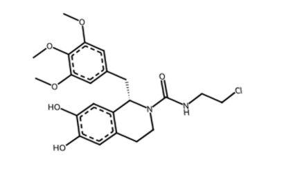 COc1cc(C[C@H]2c3cc(O)c(O)cc3CCN2C(=O)NCCCl)cc(OC)c1OC